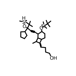 CC1/C(=C/CCCO)C2CCC(O[Si](C)(C)C(C)(C)C)C(C#CC(O[SiH](C)C)(C3CCCC3)C(C)(C)C)C12